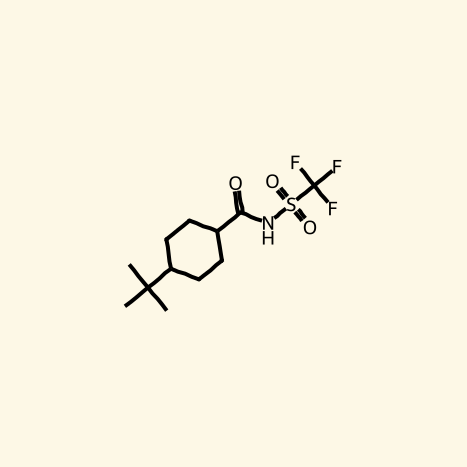 CC(C)(C)C1CCC(C(=O)NS(=O)(=O)C(F)(F)F)CC1